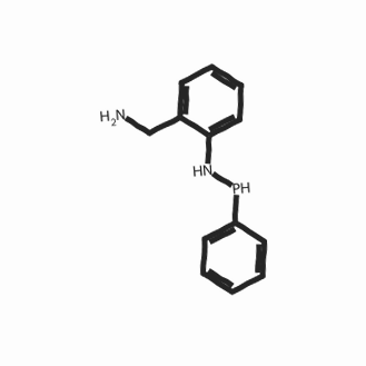 NCc1ccccc1NPc1ccccc1